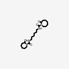 O=C1CCCCCCN1C(=O)NCCCCCCNC(=O)N1CCCCCC1=O